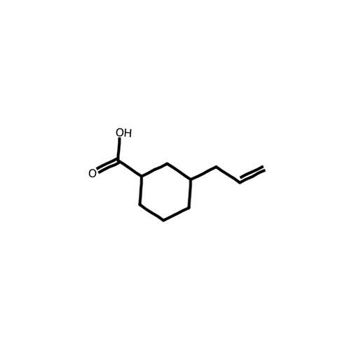 C=CCC1CCCC(C(=O)O)C1